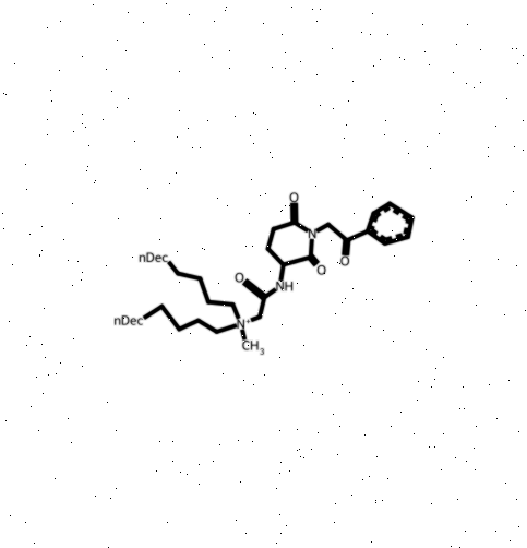 CCCCCCCCCCCCCC[N+](C)(CCCCCCCCCCCCCC)CC(=O)NC1CCC(=O)N(CC(=O)c2ccccc2)C1=O